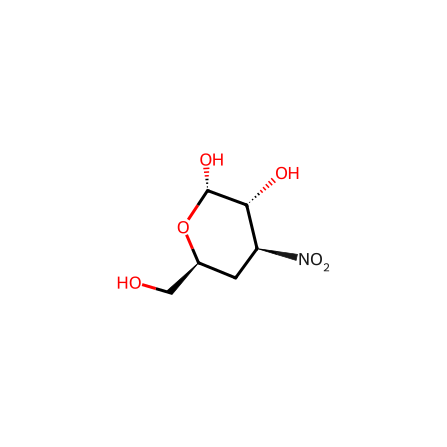 O=[N+]([O-])[C@H]1C[C@@H](CO)O[C@H](O)[C@@H]1O